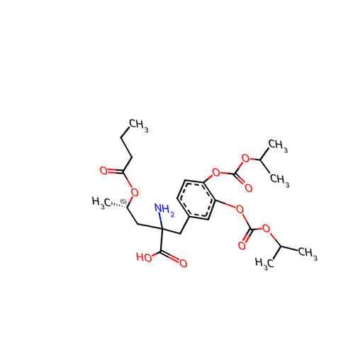 CCCC(=O)O[C@@H](C)CC(N)(Cc1ccc(OC(=O)OC(C)C)c(OC(=O)OC(C)C)c1)C(=O)O